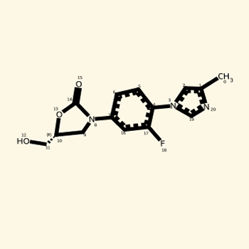 Cc1cn(-c2ccc(N3C[C@H](CO)OC3=O)cc2F)cn1